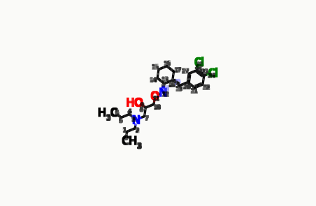 CCCN(CCC)CC(O)CO/N=C1\CCCC\C1=C/c1ccc(Cl)c(Cl)c1